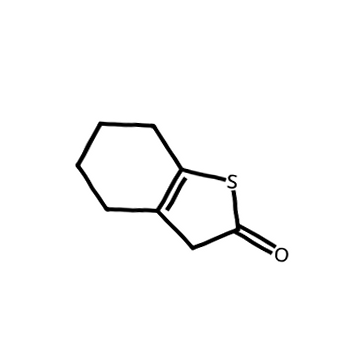 O=C1CC2=C(CCCC2)S1